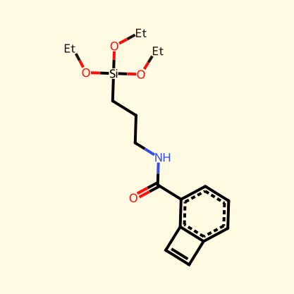 CCO[Si](CCCNC(=O)c1cccc2c1C=C2)(OCC)OCC